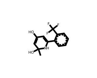 CC1(O)C=C(O)C=C(c2ccccc2C(F)(F)F)N1